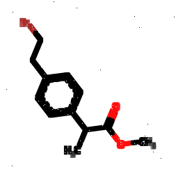 COC(=O)C(C)c1ccc(CCBr)cc1